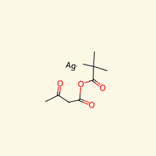 CC(=O)CC(=O)OC(=O)C(C)(C)C.[Ag]